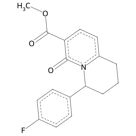 COC(=O)c1ccc2n(c1=O)C(c1ccc(F)cc1)CCC2